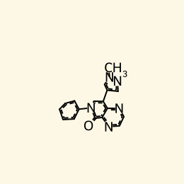 Cn1cc(-c2cn(-c3ccccc3)c(=O)c3nccnc23)cn1